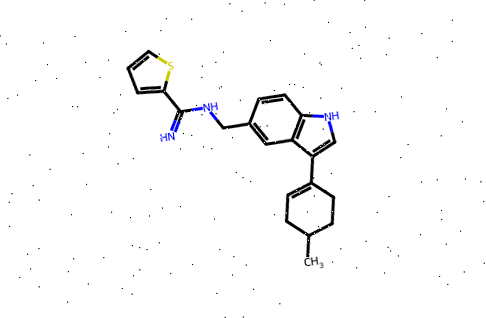 CC1CC=C(c2c[nH]c3ccc(CNC(=N)c4cccs4)cc23)CC1